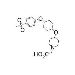 CS(=O)(=O)c1ccc(O[C@H]2CC[C@H](OC3CCN(CC(=O)O)CC3)CC2)cc1